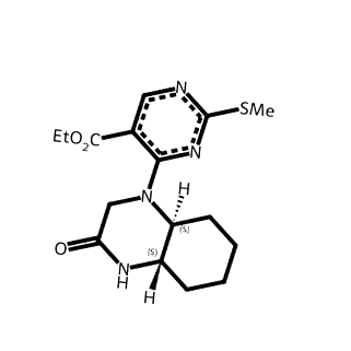 CCOC(=O)c1cnc(SC)nc1N1CC(=O)N[C@H]2CCCC[C@@H]21